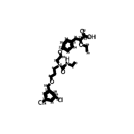 CCNC(=O)N(CCCOCc1cc(Cl)cc(Cl)c1)CCOc1ccc(CC(OCC)C(=O)O)cc1